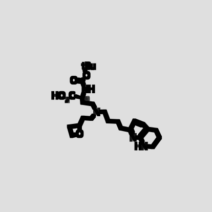 CC(C)(C)OC(=O)N[C@@H](CCN(CCCCc1ccc2c(n1)NCCC2)CCC1CCO1)C(=O)O